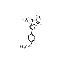 CC[C@@]1(C(=O)OC)N=C(c2ccc(OC)cc2)O[C@@H]1C